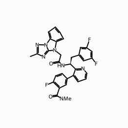 CNC(=O)c1cc(-c2cccnc2[C@H](Cc2cc(F)cc(F)c2)NC(=O)Cn2c3ccccc3n3nc(C)nc23)ccc1F